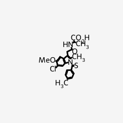 COc1cc2c(CC(=O)NC(C)C(=O)O)c(C)n(C(=S)c3ccc(C)cc3)c2cc1Cl